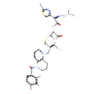 CC[C@H](O/N=C(\C(=O)N[C@@H]1C(=O)N2C(C(=O)O)=C(C[n+]3cccc4c3CCCN4C(=O)c3ccc(O)c(O)c3Cl)CS[C@H]12)c1csc(N)n1)C(=O)O